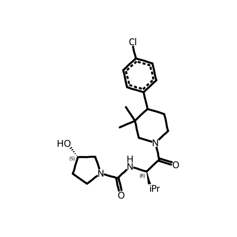 CC(C)[C@@H](NC(=O)N1CC[C@H](O)C1)C(=O)N1CCC(c2ccc(Cl)cc2)C(C)(C)C1